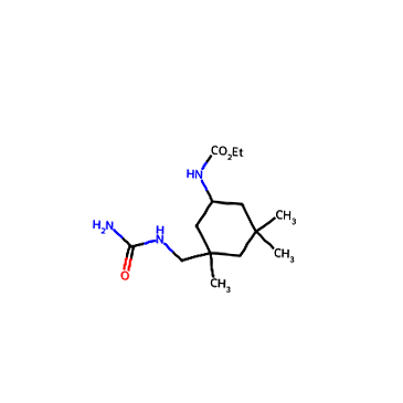 CCOC(=O)NC1CC(C)(C)CC(C)(CNC(N)=O)C1